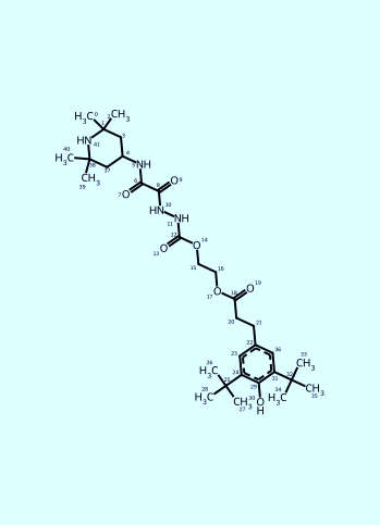 CC1(C)CC(NC(=O)C(=O)NNC(=O)OCCOC(=O)CCc2cc(C(C)(C)C)c(O)c(C(C)(C)C)c2)CC(C)(C)N1